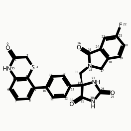 O=C1CSc2c(cccc2-c2ccc([C@]3(CN4Cc5ccc(F)cc5C4=O)NC(=O)NC3=O)cc2)N1